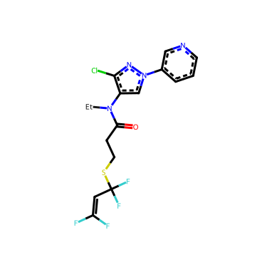 CCN(C(=O)CCSC(F)(F)C=C(F)F)c1cn(-c2cccnc2)nc1Cl